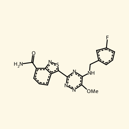 COc1nnc(-c2snc3c(C(N)=O)cccc23)nc1NCc1cccc(F)c1